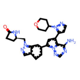 Nc1ncnn2c(-c3ccc4cnn(C[C@H]5CCC(=O)N5)c4c3)cc(-c3ccnn3C3CCOCC3)c12